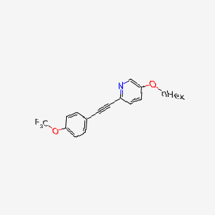 CCCCCCOc1ccc(C#Cc2ccc(OC(F)(F)F)cc2)nc1